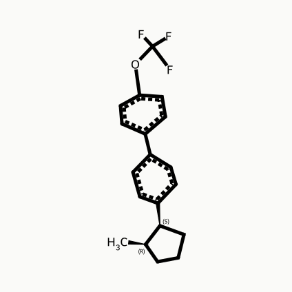 C[C@@H]1CCC[C@@H]1c1ccc(-c2ccc(OC(F)(F)F)cc2)cc1